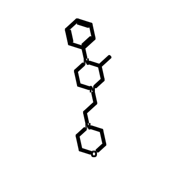 CC1CN(CCN2CCOCC2)CCN1c1ccccc1